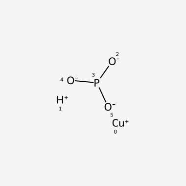 [Cu+].[H+].[O-]P([O-])[O-]